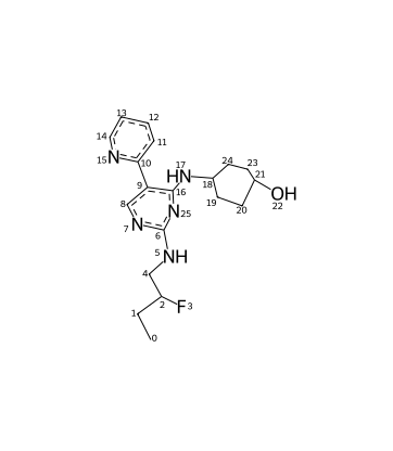 CCC(F)CNc1ncc(-c2ccccn2)c(NC2CCC(O)CC2)n1